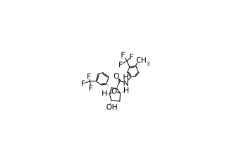 Cc1ccc(NC(=O)[C@@H]2[C@@H](c3cccc(C(F)(F)F)c3)[C@H]3O[C@@H]2C[C@@H]3O)cc1C(F)(F)F